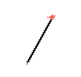 O=P(O)(O)OCCCCCCCCCCCCCCCCCCCCCCCCCCCCCCCCCCCCCCCI